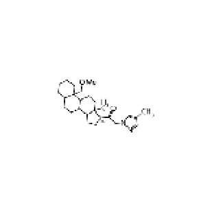 COCC12CCCCC1CCC1C2CCC2(C)C1CC[C@@H]2C(=O)Cn1cc(C)cn1